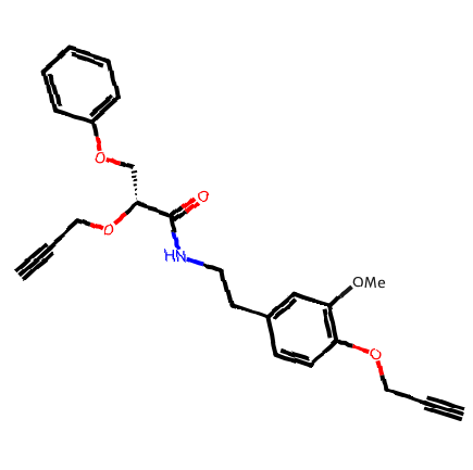 C#CCOc1ccc(CCNC(=O)[C@@H](COc2ccccc2)OCC#C)cc1OC